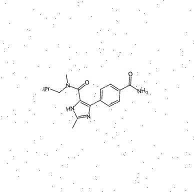 Cc1nc(-c2ccc(C(N)=O)cc2)c(C(=O)N(C)CC(C)C)[nH]1